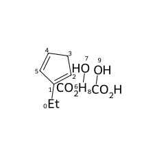 CCC1=CCC=C1.O=C(O)O.O=C(O)O